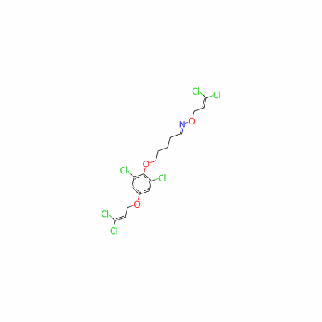 ClC(Cl)=CCON=CCCCCOc1c(Cl)cc(OCC=C(Cl)Cl)cc1Cl